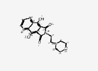 O=C1c2c(c(O)c3nccnc3c2O)C(=O)N1CCN1CCOCC1